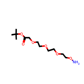 CC(C)(C)OC(=O)COCCOCCOCCON